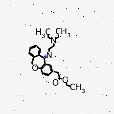 CCOC(=O)Cc1ccc2c(c1)/C(=N/CCN(CC)CC)c1ccccc1CO2